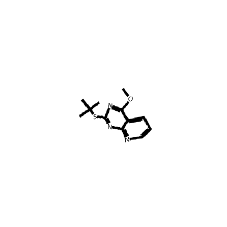 COc1nc(SC(C)(C)C)nc2ncccc12